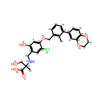 Cc1c(COc2cc(O)c(CNC(C)(CO)C(=O)O)cc2Cl)cccc1-c1ccc2c(c1)OCCO2